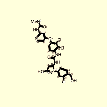 CNC(=O)Nc1cc(Oc2ccc(NC(=O)Nc3cc(O)nn3-c3ccc(CO)c(Cl)c3)c(Cl)c2Cl)ccn1